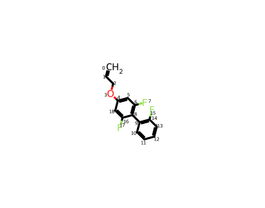 C=CCOc1cc(F)c(-c2ccc[c]c2F)c(F)c1